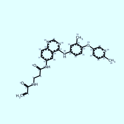 C=CC(=O)NCCC(=O)Nc1ccc2ncnc(Nc3ccc(Oc4ccc(C)nc4)c(C)c3)c2c1